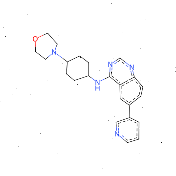 c1cncc(-c2ccc3ncnc(NC4CCC(N5CCOCC5)CC4)c3c2)c1